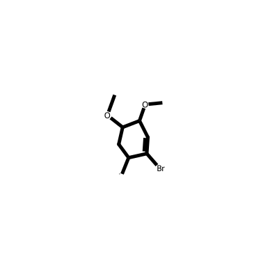 [CH2]C1CC(OC)C(OC)C=C1Br